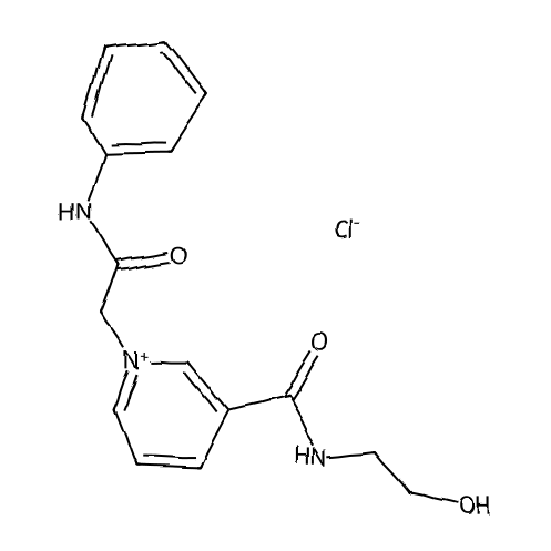 O=C(C[n+]1cccc(C(=O)NCCO)c1)Nc1ccccc1.[Cl-]